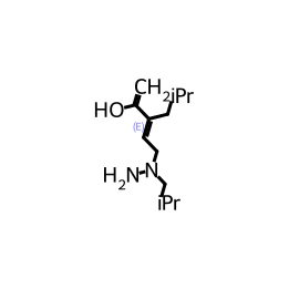 C=C(O)/C(=C/CN(N)CC(C)C)CC(C)C